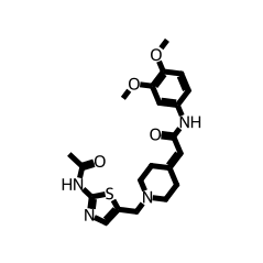 COc1ccc(NC(=O)C=C2CCN(Cc3cnc(NC(C)=O)s3)CC2)cc1OC